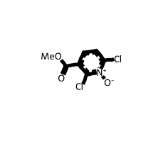 COC(=O)c1ccc(Cl)[n+]([O-])c1Cl